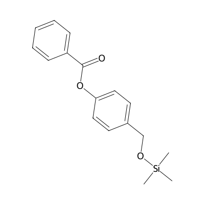 C[Si](C)(C)OCc1ccc(OC(=O)c2ccccc2)cc1